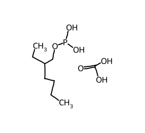 CCCCC(CC)COP(O)O.O=C(O)O